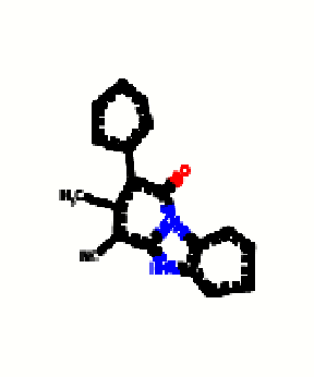 Cc1c(-c2ccccc2)c(=O)n2c([nH]c3ccccc32)c1C#N